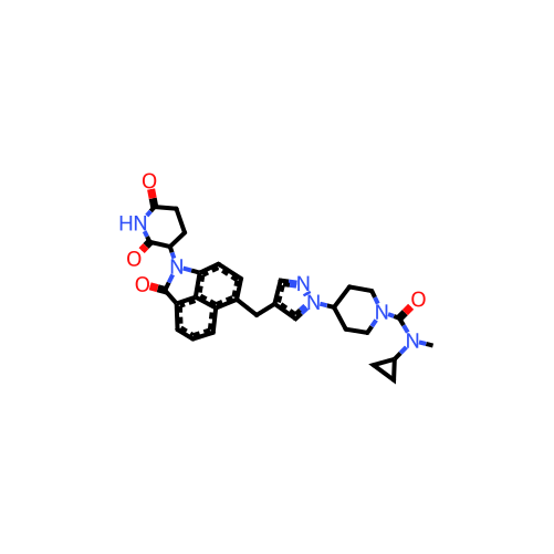 CN(C(=O)N1CCC(n2cc(Cc3ccc4c5c(cccc35)C(=O)N4C3CCC(=O)NC3=O)cn2)CC1)C1CC1